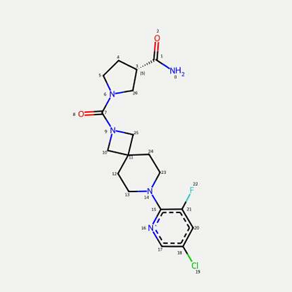 NC(=O)[C@H]1CCN(C(=O)N2CC3(CCN(c4ncc(Cl)cc4F)CC3)C2)C1